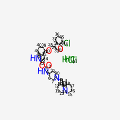 Cl.Cl.O=C(NC1CCN(C[C@@H]2CCCN3CCCC[C@H]23)CC1)Oc1cc2c(OCc3coc4c(Cl)cccc34)cccc2[nH]1